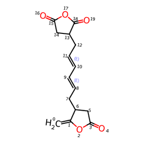 C=C1OC(=O)CC1C/C=C/C=C/CC1CC(=O)OC1=O